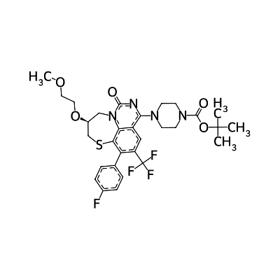 COCCO[C@@H]1CSc2c(-c3ccc(F)cc3)c(C(F)(F)F)cc3c(N4CCN(C(=O)OC(C)(C)C)CC4)nc(=O)n(c23)C1